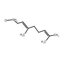 CC(C)=CCC/C(C)=C/C[SiH2]Cl